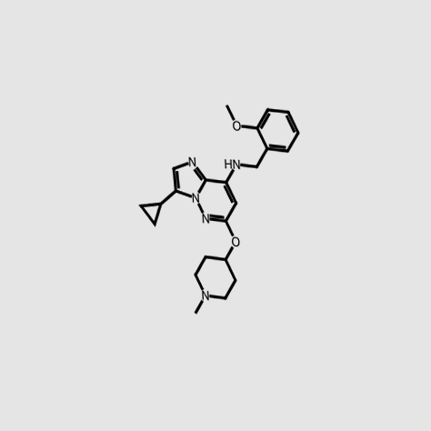 COc1ccccc1CNc1cc(OC2CCN(C)CC2)nn2c(C3CC3)cnc12